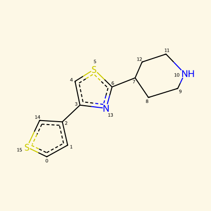 c1cc(-c2csc(C3CCNCC3)n2)cs1